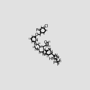 Fc1cc(Cl)ccc1COc1cccc(N2CCN(Cc3nc4cc(-c5nnc(C(F)(F)F)[nH]5)nnc4n3CC3CCO3)CC2)n1